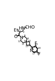 CCC(CNC=O)C(=O)N1CCC2(CC1)CC(c1ncc(F)cc1F)C2